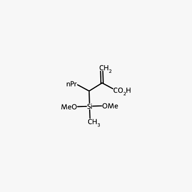 C=C(C(=O)O)C(CCC)[Si](C)(OC)OC